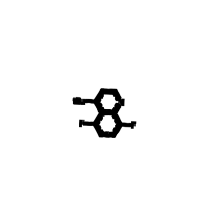 CC(C)(C)c1ccnc2c(F)ccc(F)c12